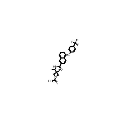 CC(NC(=O)c1ccc2c(Oc3ccc(C(F)(F)F)cc3)cccc2c1)C1(F)CN(C(=O)O)C1